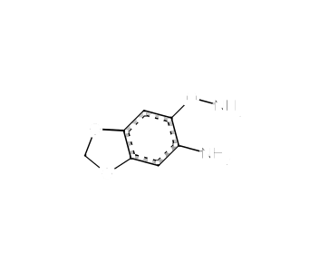 NOc1cc2c(cc1N)OCO2